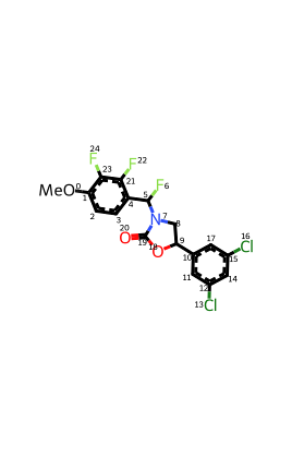 COc1ccc(C(F)N2CC(c3cc(Cl)cc(Cl)c3)OC2=O)c(F)c1F